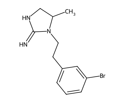 CC1CNC(=N)N1CCc1cccc(Br)c1